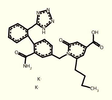 CCCCc1cc(C(=O)O)cc(=O)n1Cc1ccc(-c2ccccc2-c2nnn[nH]2)c(C(N)=O)c1.[K].[K]